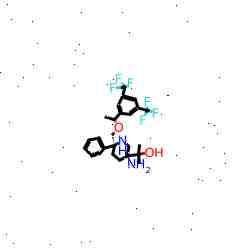 CC(OC[C@@]1(c2ccccc2)CC[C@](N)(C(C)(C)O)CN1)c1cc(C(F)(F)F)cc(C(F)(F)F)c1